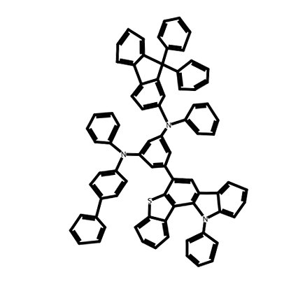 c1ccc(-c2ccc(N(c3ccccc3)c3cc(-c4cc5c6ccccc6n(-c6ccccc6)c5c5c4sc4ccccc45)cc(N(c4ccccc4)c4ccc5c(c4)C(c4ccccc4)(c4ccccc4)c4ccccc4-5)c3)cc2)cc1